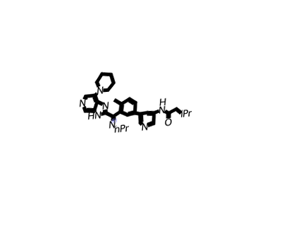 CCC/N=C(/c1nc2c(N3CCCCC3)cncc2[nH]1)c1cc(-c2cncc(NC(=O)CC(C)C)c2)ccc1C